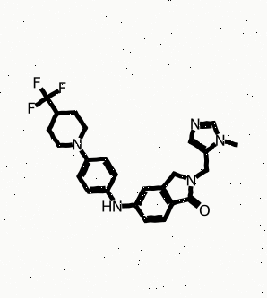 Cn1cncc1CN1Cc2cc(Nc3ccc(N4CCC(C(F)(F)F)CC4)cc3)ccc2C1=O